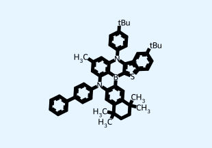 Cc1cc2c3c(c1)N(c1ccc(C(C)(C)C)cc1)c1c(sc4ccc(C(C)(C)C)cc14)B3c1cc3c(cc1N2c1ccc(-c2ccccc2)cc1)C(C)(C)CCC3(C)C